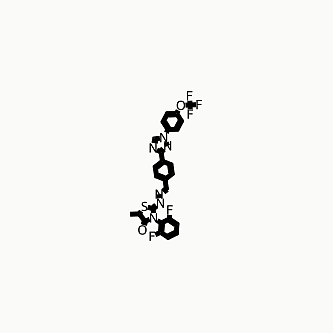 CC1S/C(=N\N=C\c2ccc(-c3ncn(-c4ccc(OC(F)(F)F)cc4)n3)cc2)N(c2c(F)cccc2F)C1=O